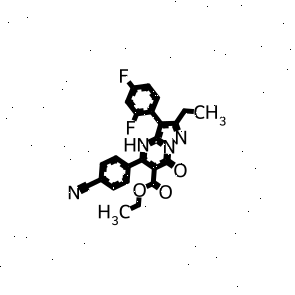 CCOC(=O)c1c(-c2ccc(C#N)cc2)[nH]c2c(-c3ccc(F)cc3F)c(CC)nn2c1=O